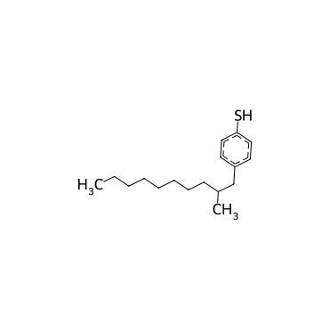 CCCCCCCCC(C)Cc1ccc(S)cc1